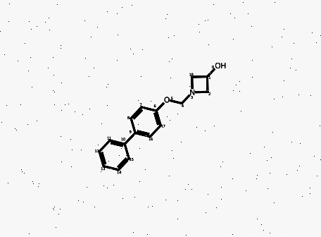 OC1CN(COc2ccc(-c3ccccc3)cc2)C1